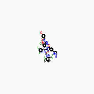 COc1ccc(CN(c2nn(C)c3c(-n4c([C@H](Cc5cc(F)cc(F)c5)NC(=O)Cn5nc(C(F)F)c6c5C(F)(F)[C@@H]5C[C@H]65)nc5cc(-c6cc[nH]n6)ccc5c4=O)ccc(Cl)c23)S(C)(=O)=O)cc1